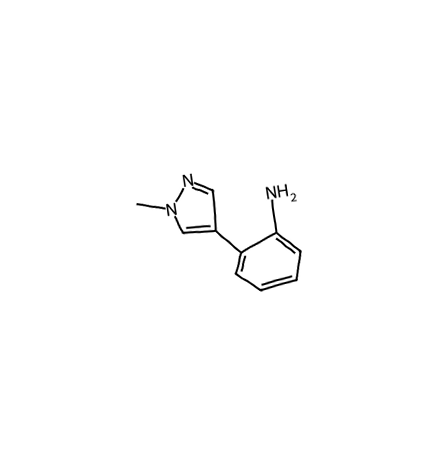 Cn1cc(-c2ccccc2N)cn1